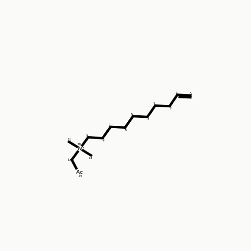 C=CCCCCCCCC[N+](C)(C)CC(C)=O